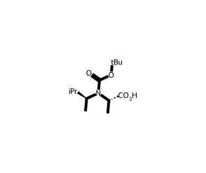 CC(C)[C@H](C)N(C(=O)OC(C)(C)C)[C@@H](C)C(=O)O